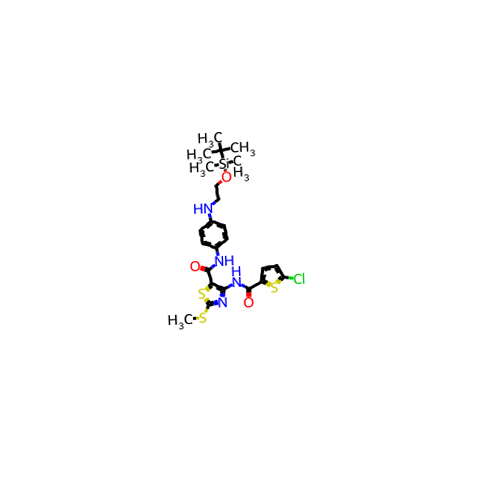 CSc1nc(NC(=O)c2ccc(Cl)s2)c(C(=O)Nc2ccc(NCCO[Si](C)(C)C(C)(C)C)cc2)s1